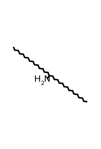 CCCCCCCCCCCCCCCC(N)CCCCCCCCCCCCCCC